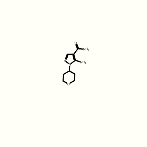 NC(=O)c1cnn(C2CCOCC2)c1N